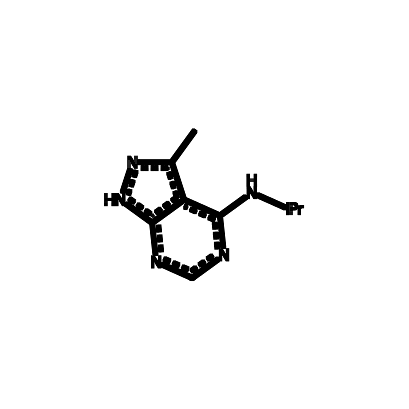 Cc1n[nH]c2ncnc(NC(C)C)c12